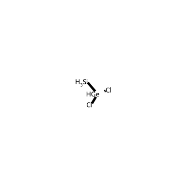 [SiH3][GeH]([Cl])[Cl]